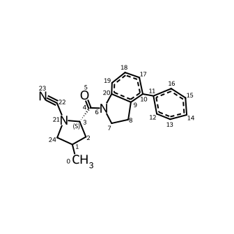 CC1C[C@@H](C(=O)N2CCc3c(-c4ccccc4)cccc32)N(C#N)C1